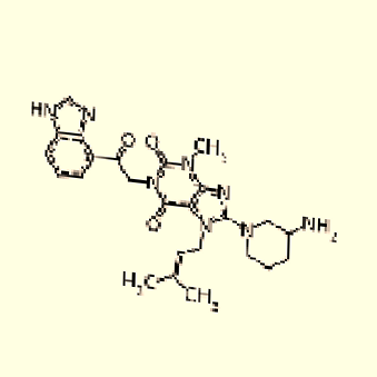 CC(C)=CCn1c(N2CCCC(N)C2)nc2c1c(=O)n(CC(=O)c1cccc3[nH]cnc13)c(=O)n2C